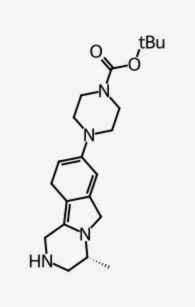 C[C@@H]1CNCC2=C3CC=C(N4CCN(C(=O)OC(C)(C)C)CC4)C=C3CN21